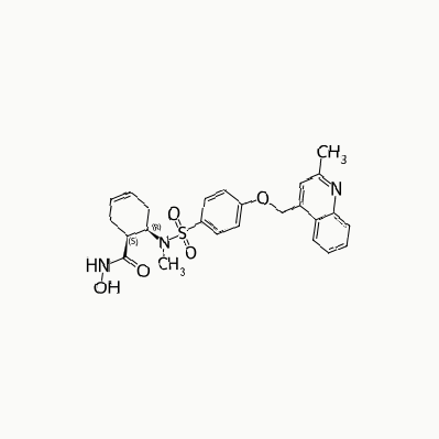 Cc1cc(COc2ccc(S(=O)(=O)N(C)[C@@H]3CC=CC[C@@H]3C(=O)NO)cc2)c2ccccc2n1